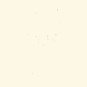 Cc1cc(C(C)(C)NC(=O)CC2(NC(=O)c3cc(-c4ccc(F)cc4F)on3)CN(C3CCC(C)(O)CC3)C2)ccn1